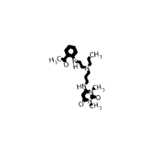 CCCN(CCCNc1cc(=O)n(C)c(=O)n1C)CCNc1ccccc1C(C)=O